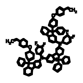 C=CC1=CC=C(OC2CC=C(C3(C4=CC=CCC4)c4cc(N(C5=CC6C7C=C(N(C8=CC9C(C=C8)C8C=CCCC8C9(c8ccccc8)c8ccc(Oc9ccc(C=C)cc9)cc8)C8CC=C(F)C(F)C8)CCC7[Si](C7=CC=CCC7)(C7C=CC=CC7)C6C=C5)C5=CC(F)=C(F)CC5)ccc4C4C=CC=CC43)CC2)CC1